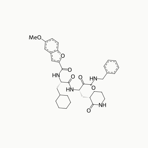 COc1ccc2oc(C(=O)N[C@@H](CC3CCCCC3)C(=O)N[C@@H](C[C@@H]3CCCNC3=O)C(=O)C(=O)NCc3ccccc3)cc2c1